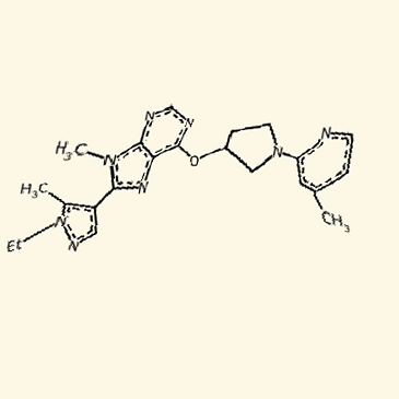 CCn1ncc(-c2nc3c(OC4CCN(c5cc(C)ccn5)C4)ncnc3n2C)c1C